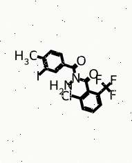 Cc1ccc(C(=O)N(N)C(=O)c2c(Cl)cccc2C(F)(F)F)cc1I